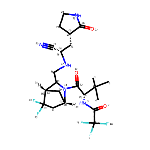 CC(C)(C)[C@H](NC(=O)C(F)(F)F)C(=O)N1C(CN[C@H](C#N)C[C@@H]2CCNC2=O)[C@@H]2C[C@H]1CC2(F)F